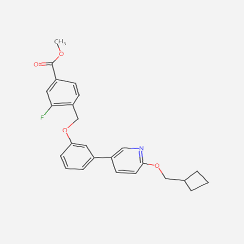 COC(=O)c1ccc(COc2cccc(-c3ccc(OCC4CCC4)nc3)c2)c(F)c1